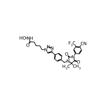 CC1(C)C(=O)N(c2ccc(C#N)c(C(F)(F)F)c2)C(=O)N1Cc1ccc(-c2cn(CCCCC(=O)NO)nn2)cc1